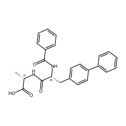 C[C@H](NC(=O)[C@@H](Cc1ccc(-c2ccccc2)cc1)NC(=O)c1ccccc1)C(=O)O